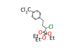 CCO[Si](OCC)(OCC)C(Cl)CCc1ccc(C(Cl)(Cl)Cl)cc1